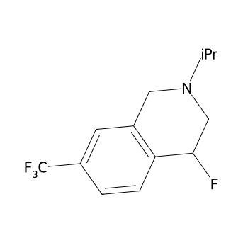 CC(C)N1Cc2cc(C(F)(F)F)ccc2C(F)C1